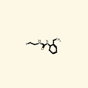 CCC1=CCCCC1NC(=O)NCCF